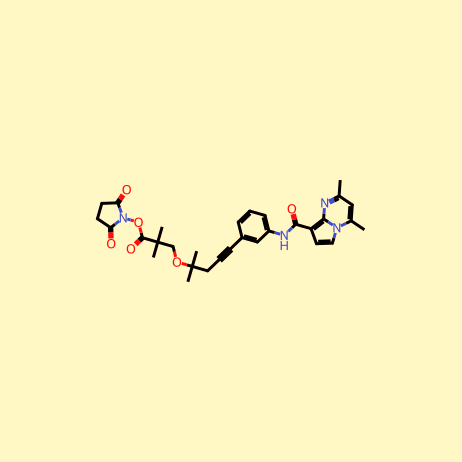 Cc1cc(C)n2ccc(C(=O)Nc3cccc(C#CCC(C)(C)OCC(C)(C)C(=O)ON4C(=O)CCC4=O)c3)c2n1